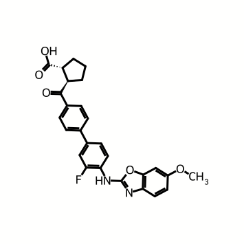 COc1ccc2nc(Nc3ccc(-c4ccc(C(=O)[C@@H]5CCC[C@H]5C(=O)O)cc4)cc3F)oc2c1